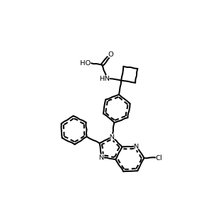 O=C(O)NC1(c2ccc(-n3c(-c4ccccc4)nc4ccc(Cl)nc43)cc2)CCC1